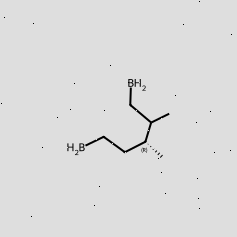 BCC[C@@H](C)C(C)CB